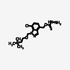 C[Si](C)(C)CCOCn1ncc2c(COC(=S)NN)ccc(Cl)c21